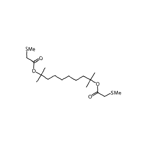 CSCC(=O)OC(C)(C)CCCCCCC(C)(C)OC(=O)CSC